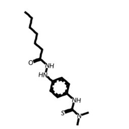 CCCCCCC(=O)NNc1ccc(NC(=S)N(C)C)cc1